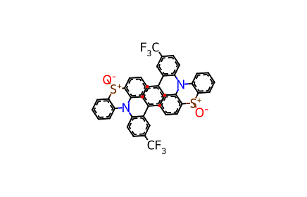 [O-][S+]1c2ccccc2N(c2ccc(C(F)(F)F)cc2-c2ccc(-c3cc(C(F)(F)F)ccc3N3c4ccccc4[S+]([O-])c4ccccc43)cc2)c2ccccc21